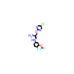 N/C(=C\Nc1ccc(F)c(OC(F)F)c1)COc1ncc(Cl)cn1